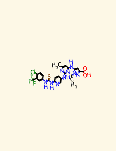 CCn1nc(C(=O)O)cc1Nc1cc(C)nc(Nc2ccc(NC(=S)Nc3ccc(Cl)c(C(F)(F)F)c3)nc2)n1